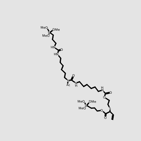 C=CC(SCCOC(=O)NCCCCCCNC(=O)N(CCCCCCNC(=O)NCCC[Si](OC)(OC)OC)C(C)=O)C(=O)OCCC[Si](OC)(OC)OC